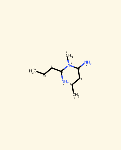 CCCC(N)N(C)C(N)CCC